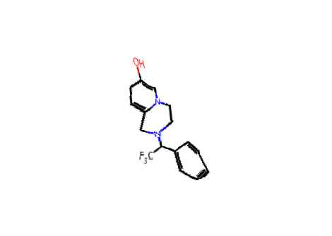 OC1=CN2CCN(C(c3ccccc3)C(F)(F)F)CC2=CC1